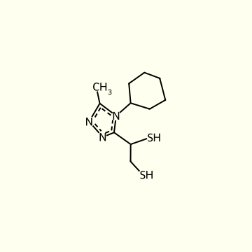 Cc1nnc(C(S)CS)n1C1CCCCC1